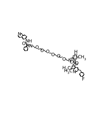 C[C@@H]1CN(CC(=O)N2CC(C)(C)c3ncc(Cc4ccc(F)cc4)cc32)[C@@H](CN(C)CCOCCOCCOCCOCCOCCOCCNC[C@@H](C(=O)Nc2ccc3cnccc3c2)c2ccccc2)CN1